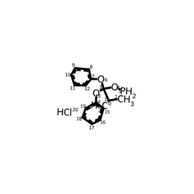 CC(C)C(OP)(Oc1ccccc1)Oc1ccccc1.Cl